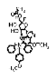 C#C[C@]1(O)[C@H](n2cnc3c(OCC)nc(NC(c4ccccc4)(c4ccccc4)c4ccc(OC)cc4)nc32)O[C@](F)(CO[PH](C)=O)[C@H]1O